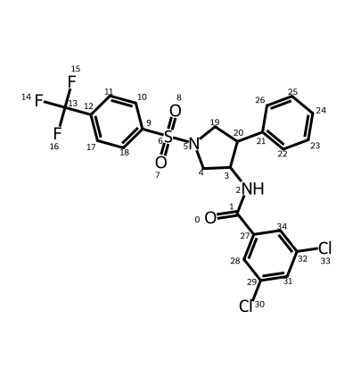 O=C(NC1CN(S(=O)(=O)c2ccc(C(F)(F)F)cc2)CC1c1ccccc1)c1cc(Cl)cc(Cl)c1